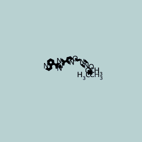 CC(C)(C)OC(=O)N1CCN(CCOc2ccc(-c3cnc4c(-c5cccc6ncccc56)cnn4c3)cn2)CC1